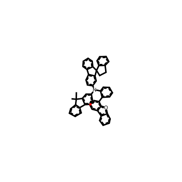 CC1(C)c2ccccc2-c2ccc(N(c3ccc4c(c3)C3(CCc5ccccc53)c3ccccc3-4)c3ccccc3-c3cccc4c3oc3ccccc34)cc21